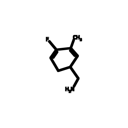 CC1=CC(CN)CC=C1F